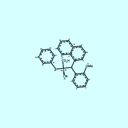 COc1ccccc1C(c1cccc2ccccc12)[C@](C#N)(Cc1cccnc1)C(=O)O